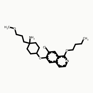 CCCCOc1nccc2cc(OC3CCC(N)(CCCOC)CC3)c(Cl)cc12